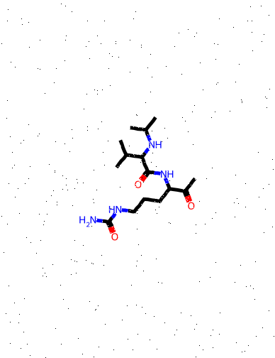 CC(=O)C(CCCNC(N)=O)NC(=O)C(NC(C)C)C(C)C